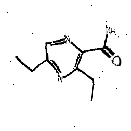 CCc1cnc(C(N)=O)c(CC)n1